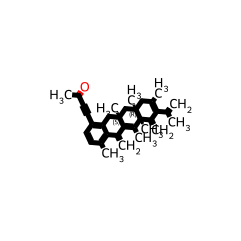 C=C(C)C1=C(C)C[C@@]2(C)C[C@@]3(C)Cc4c(C#CC(C)=O)ccc(C)c4C(=C)C3=C(C)[C@@]2(C)C1=C